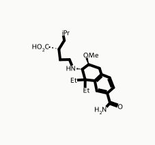 CCC1(CC)c2cc(C(N)=O)ccc2C[C@H](OC)[C@H]1NCC[C@@H](CC(C)C)C(=O)O